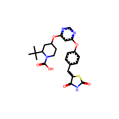 CC(C)(C)C1CC(Oc2cc(Oc3ccc(/C=C4\SC(=O)NC4=O)cc3)ncn2)CCN1C(=O)O